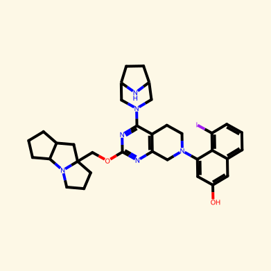 Oc1cc(N2CCc3c(nc(OCC45CCCN4C4CCCC4C5)nc3N3CC4CCC(C3)N4)C2)c2c(I)cccc2c1